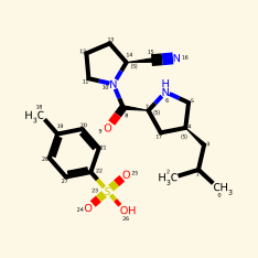 CC(C)C[C@@H]1CN[C@H](C(=O)N2CCC[C@H]2C#N)C1.Cc1ccc(S(=O)(=O)O)cc1